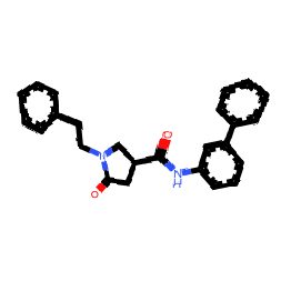 O=C(Nc1cccc(-c2ccccc2)c1)C1CC(=O)N(CCc2ccccc2)C1